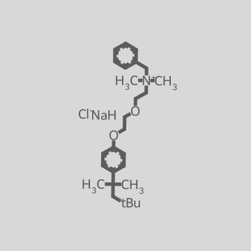 CC(C)(C)CC(C)(C)c1ccc(OCCOCC[N+](C)(C)Cc2ccccc2)cc1.[Cl-].[NaH]